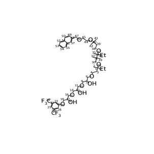 CCC(C)(CCOCC(O)COCC(O)COCC(O)COc1cc(C(F)(F)F)cc(C(F)(F)F)c1)OCC(C)(C)C(C)(CC)OCCC(C)(C)OCCOCc1ccc2ccccc2c1